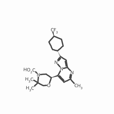 Cc1cc([C@@H]2CN(C(=O)O)C(C)(C)CO2)n2nc([C@H]3CC[C@H](C(F)(F)F)CC3)cc2n1